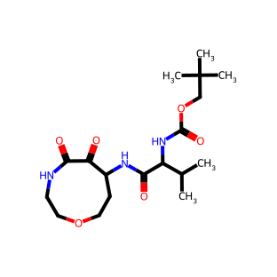 CC(C)C(NC(=O)OCC(C)(C)C)C(=O)NC1CCOCCNC(=O)C1=O